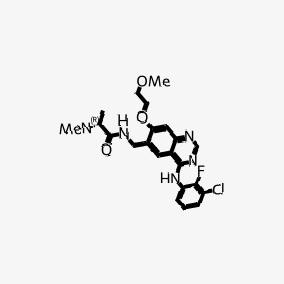 CN[C@H](C)C(=O)NCc1cc2c(Nc3cccc(Cl)c3F)ncnc2cc1OCCOC